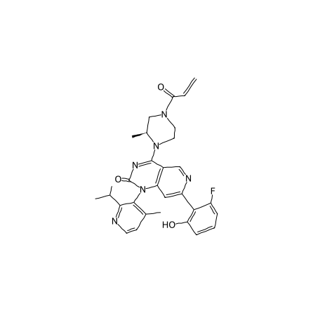 C=CC(=O)N1CCN(c2nc(=O)n(-c3c(C)ccnc3C(C)C)c3cc(-c4c(O)cccc4F)ncc23)[C@@H](C)C1